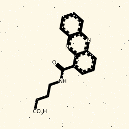 O=C(O)CCCNC(=O)c1cccc2nc3ccccc3nc12